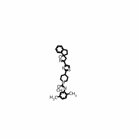 CO/C(=N\c1cc(C)ccc1C)N1CCC(c2nc(C3=NOC4(CCc5ccccc54)C3)cs2)CC1